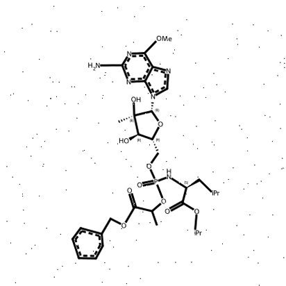 COc1nc(N)nc2c1ncn2[C@@H]1O[C@H](COP(=O)(N[C@@H](CC(C)C)C(=O)OC(C)C)OC(C)C(=O)OCc2ccccc2)[C@@H](O)[C@@]1(C)O